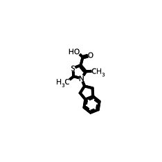 CC1=C(C(=O)O)SC(C)N1C1Cc2ccccc2C1